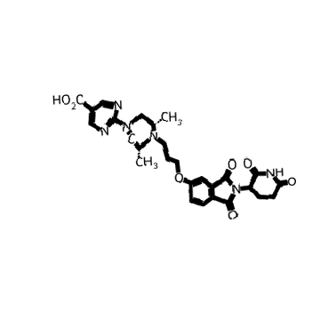 C[C@@H]1CN(c2ncc(C(=O)O)cn2)C[C@H](C)N1CCCOc1ccc2c(c1)C(=O)N(C1CCC(=O)NC1=O)C2=O